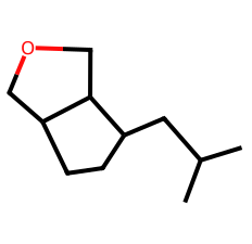 CC(C)CC1CCC2COCC21